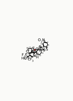 O=[N+]([O-])C1=CCC(=S)C(S(=O)(=O)N2CCN[C@](CN3C4COCC3CC(O)C4)(c3ncc(C(O)(C(F)(F)F)C(F)(F)F)cn3)C2)=C1